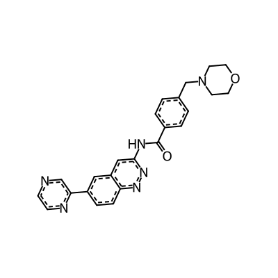 O=C(Nc1cc2cc(-c3cnccn3)ccc2nn1)c1ccc(CN2CCOCC2)cc1